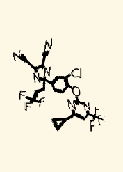 N#CC1=NC(CCC(F)(F)F)(c2ccc(Oc3nc(C4CC4)cc(C(F)(F)F)n3)c(Cl)c2)N=C1C#N